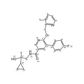 Cc1cccnc1COc1ncc(C(=O)NCC(C)(O)C2CC2)cc1-c1ccc(F)cc1